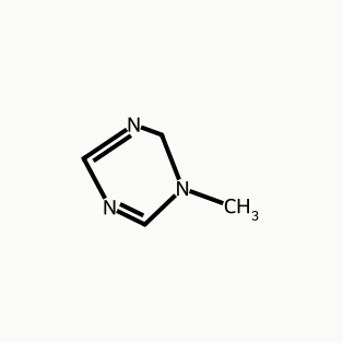 CN1C=NC=NC1